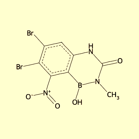 CN1B(O)c2c(cc(Br)c(Br)c2[N+](=O)[O-])NC1=O